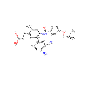 Cc1cc(NC(=O)c2ccc(OCC(C)C)cc2)c(-c2ccc(N)c(C=N)c2)cc1CCC(=O)O